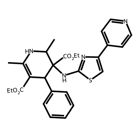 CCOC(=O)C1=C(C)NC(C)C(Nc2nc(-c3ccncc3)cs2)(C(=O)OCC)C1c1ccccc1